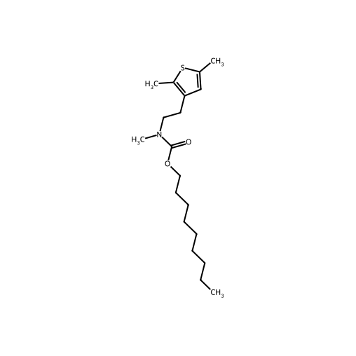 CCCCCCCCCOC(=O)N(C)CCc1cc(C)sc1C